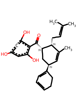 CC(C)=CC[C@@H]1C(C)=C[C@@H](C2=CC=CCC2)C[C@@H]1C(=O)c1c(O)cc(O)cc1O